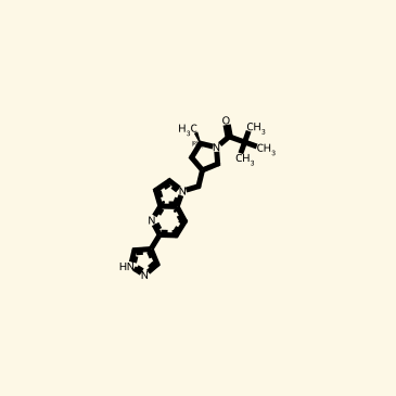 C[C@@H]1CC(Cn2ccc3nc(-c4cn[nH]c4)ccc32)CN1C(=O)C(C)(C)C